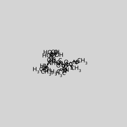 CCN(C(=O)OCc1ccc(O[C@@H]2O[C@H](C(=O)O)[C@@H](O)[C@H](O)[C@H]2O)c(C(=O)NCCNC(=O)OC(C)(C)C)c1)c1cc(C2(c3nncn3C)CC(C)C2)cc(N2Cc3c(SC)cc(CN4CCC[C@H](C)C4)cc3C2=O)n1